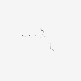 CCCOCN(C=O)OCOCCI